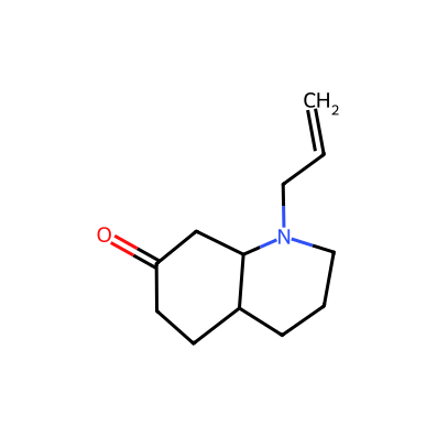 C=CCN1CCCC2CCC(=O)CC21